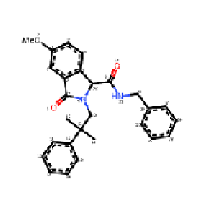 COc1ccc2c(c1)C(=O)N(CC(C)(C)c1ccccc1)C2C(=O)NCc1ccccc1